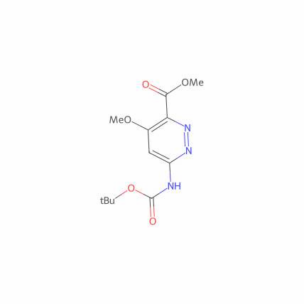 COC(=O)c1nnc(NC(=O)OC(C)(C)C)cc1OC